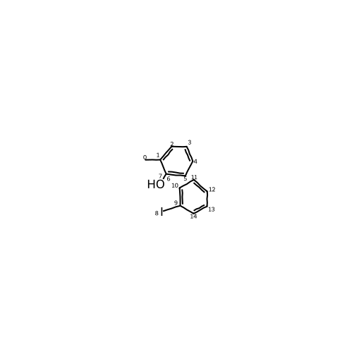 Cc1ccccc1O.Ic1ccccc1